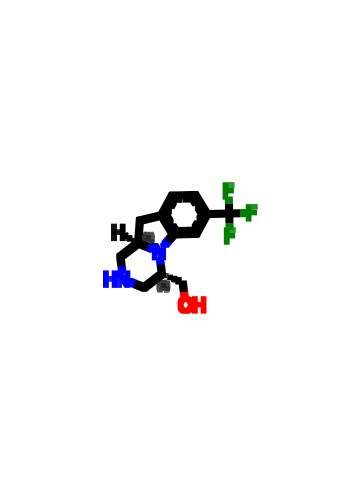 OC[C@@H]1CNC[C@H]2Cc3ccc(C(F)(F)F)cc3N12